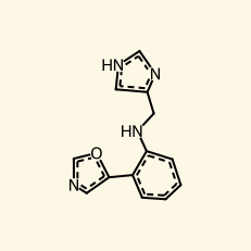 c1ccc(-c2cnco2)c(NCc2c[nH]cn2)c1